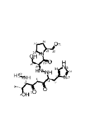 C[C@@H](O)[C@H](NS)C(=O)CC(=O)[C@H](Cc1c[nH]cn1)NN[C@@H](CO)C(=O)N1CCC[C@H]1C=O